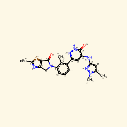 CCCCc1nc2c(s1)C(=O)N(c1cccc(-c3cc(Nc4cc(C)n(C)n4)c(=O)[nH]n3)c1C)C2